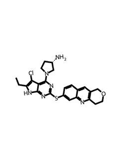 CCc1[nH]c2nc(Sc3ccc4cc5c(nc4c3)CCOC5)nc(N3CC[C@H](N)C3)c2c1Cl